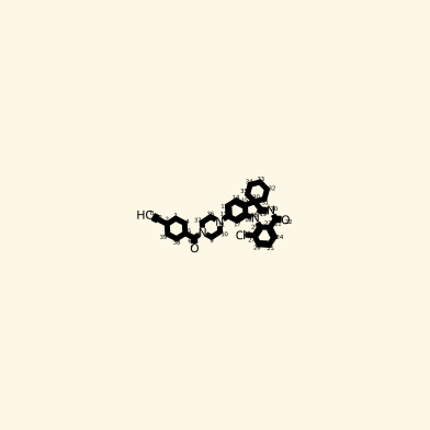 C#CC1CCC(C(=O)N2CCN(c3ccc4c(c3)-n3c(nc(=O)c5cccc(Cl)c53)C43CCCCC3)CC2)CC1